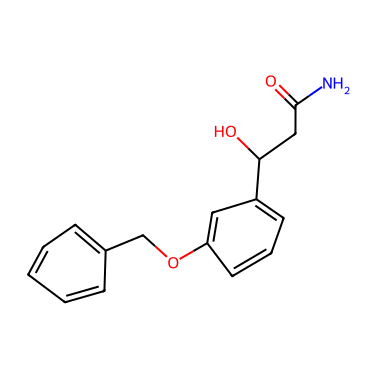 NC(=O)CC(O)c1cccc(OCc2ccccc2)c1